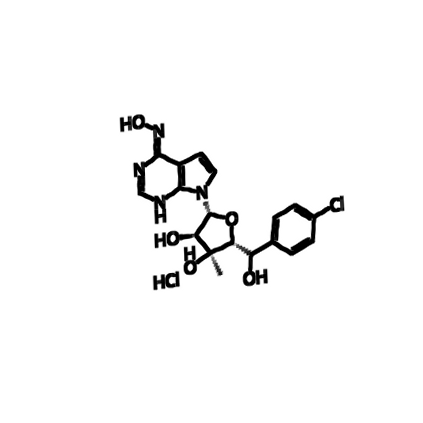 C[C@@]1(O)[C@@H](C(O)c2ccc(Cl)cc2)O[C@@H](n2ccc3/c(=N/O)nc[nH]c32)[C@@H]1O.Cl